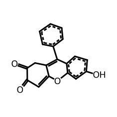 O=C1C=C2Oc3cc(O)ccc3C(c3ccccc3)=C2CC1=O